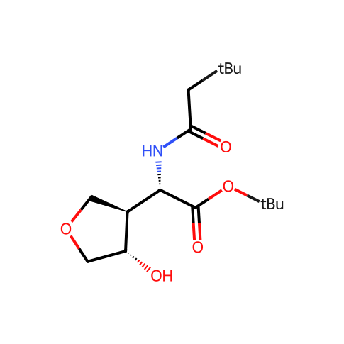 CC(C)(C)CC(=O)N[C@H](C(=O)OC(C)(C)C)[C@@H]1COC[C@H]1O